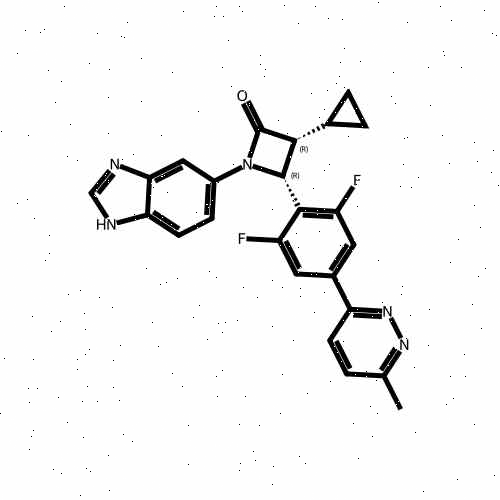 Cc1ccc(-c2cc(F)c([C@H]3[C@@H](C4CC4)C(=O)N3c3ccc4[nH]cnc4c3)c(F)c2)nn1